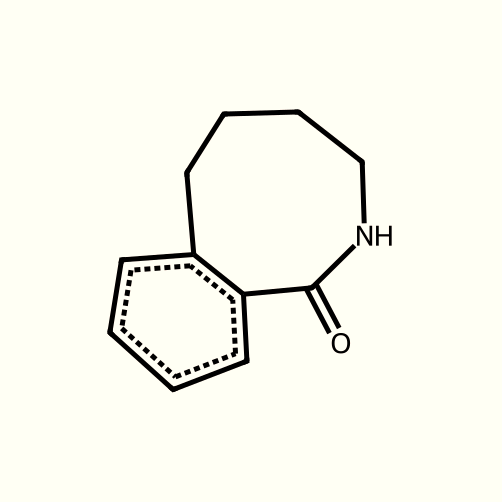 O=C1NCCCCc2ccccc21